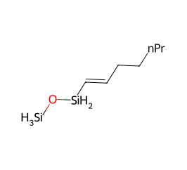 CCCCCC=C[SiH2]O[SiH3]